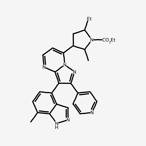 CCOC(=O)N1C(CC)CC(c2ccnc3c(-c4ccc(C)c5[nH]ncc45)c(-c4ccncc4)nn23)C1C